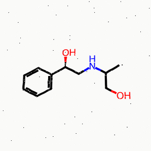 [CH2]C(CO)NC[C@H](O)c1ccccc1